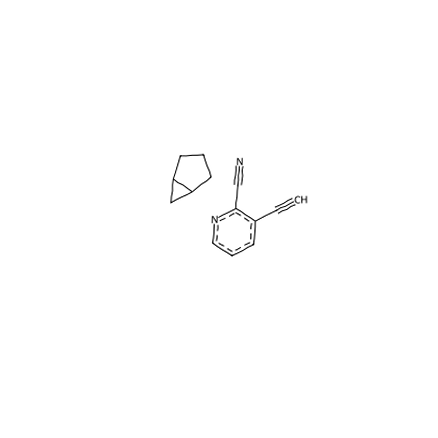 C#Cc1cccnc1C#N.C1CC2CC2C1